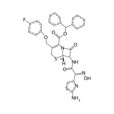 Nc1nc(C(=NO)C(=O)NC2C(=O)N3C(C(=O)OC(c4ccccc4)c4ccccc4)=C(COc4ccc(F)cc4)CS[C@@H]23)cs1